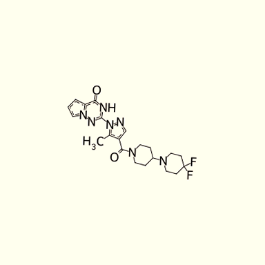 Cc1c(C(=O)N2CCC(N3CCC(F)(F)CC3)CC2)cnn1-c1nn2cccc2c(=O)[nH]1